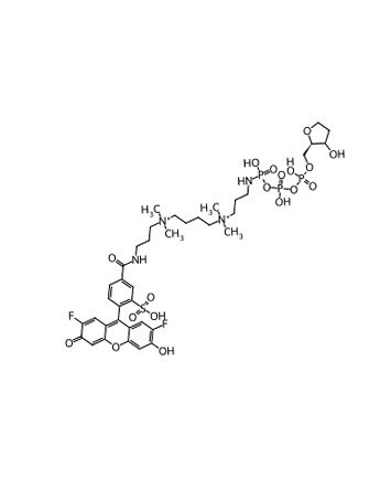 C[N+](C)(CCCC[N+](C)(C)CCCNP(=O)(O)OP(=O)(O)OP(=O)(O)OC[C@H]1OCCC1O)CCCNC(=O)c1ccc(-c2c3cc(F)c(=O)cc-3oc3cc(O)c(F)cc23)c(S(=O)(=O)O)c1